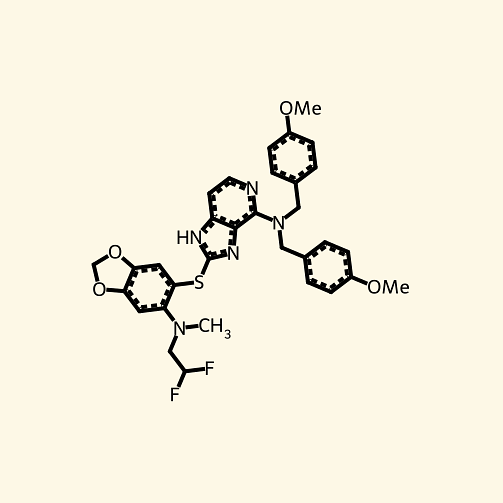 COc1ccc(CN(Cc2ccc(OC)cc2)c2nccc3[nH]c(Sc4cc5c(cc4N(C)CC(F)F)OCO5)nc23)cc1